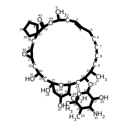 CC1C/C=C/CCCCCC(C)C(OC2OC(C)C(C)C(N)C2O)CC2OC(O)(CC(O)CC3OC3CC3(CCCC3)C(=O)O1)CC(O)C2C(=O)O